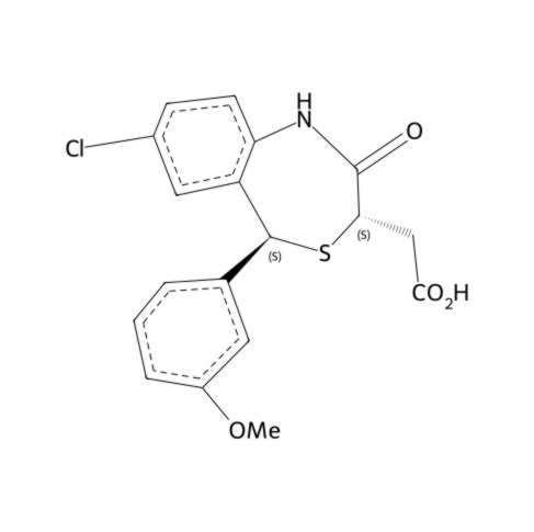 COc1cccc([C@@H]2S[C@@H](CC(=O)O)C(=O)Nc3ccc(Cl)cc32)c1